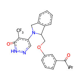 CC(C)C(=O)c1cccc(OCC2c3ccccc3CN2c2cn[nH]c(=O)c2C(F)(F)F)c1